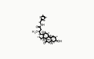 C[C@H](CC(=O)NCc1nccs1)[C@H]1CC[C@H]2[C@@H]3C(=O)C[C@@H]4C[C@H](O)CC[C@]4(C)[C@H]3CC[C@]12C